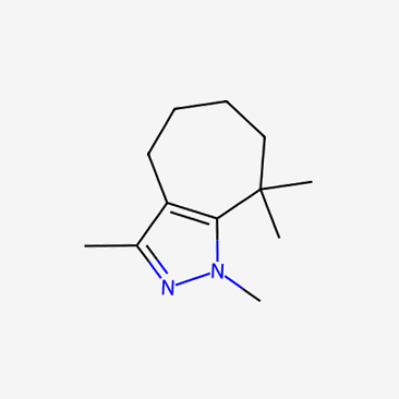 Cc1nn(C)c2c1CCCCC2(C)C